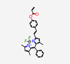 C=CC(=O)Oc1ccc(/C=C/c2cc(C)c3n2[B-](F)(F)[N+]2=C(C)C=C(C)C2=C3c2ccccc2)cc1